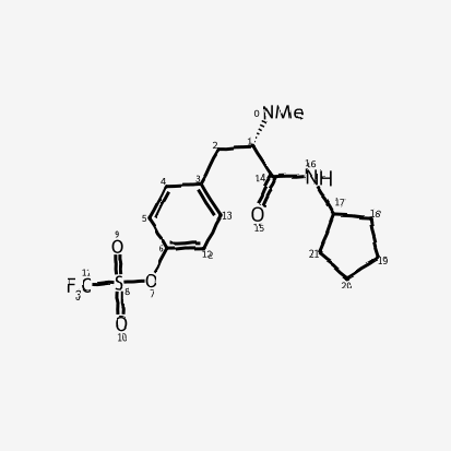 CN[C@@H](Cc1ccc(OS(=O)(=O)C(F)(F)F)cc1)C(=O)NC1CCCC1